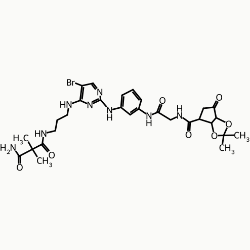 CC1(C)OC2C(=O)CC(C(=O)NCC(=O)Nc3cccc(Nc4ncc(Br)c(NCCCNC(=O)C(C)(C)C(N)=O)n4)c3)C2O1